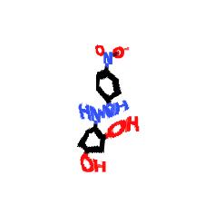 O=[N+]([O-])c1ccc(NNc2ccc(O)cc2O)cc1